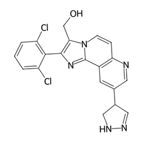 OCc1c(-c2c(Cl)cccc2Cl)nc2c3cc(C4C=NNC4)cnc3ccn12